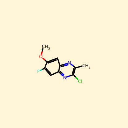 COc1cc2nc(C)c(Cl)nc2cc1F